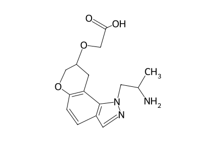 CC(N)Cn1ncc2ccc3c(c21)CC(OCC(=O)O)CO3